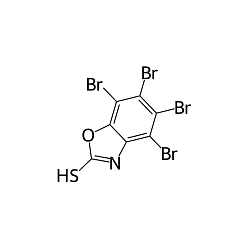 Sc1nc2c(Br)c(Br)c(Br)c(Br)c2o1